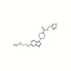 COCCOc1ccc2c(C3CCN(C(=O)OCc4cocn4)CC3)cnn2c1